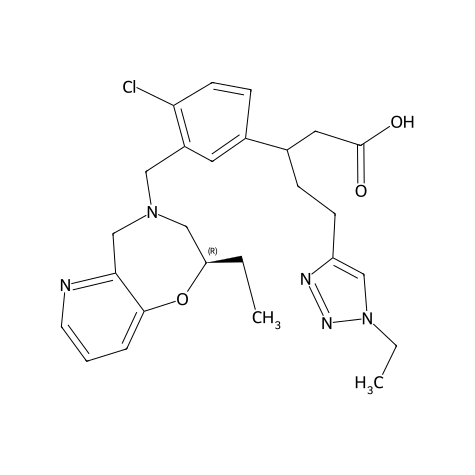 CC[C@@H]1CN(Cc2cc(C(CCc3cn(CC)nn3)CC(=O)O)ccc2Cl)Cc2ncccc2O1